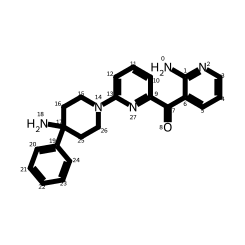 Nc1ncccc1C(=O)c1cccc(N2CCC(N)(c3ccccc3)CC2)n1